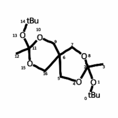 CC(C)(C)OC1(C)OCC2(CO1)COC(C)(OC(C)(C)C)OC2